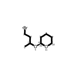 CC(CCBr)O[C@H]1CCCCO1